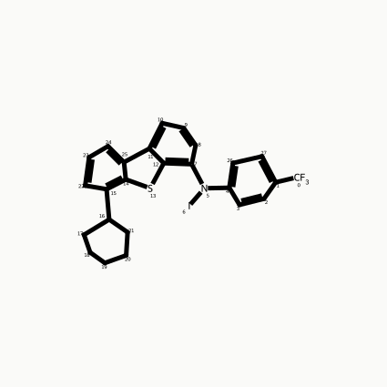 FC(F)(F)c1ccc(N(I)c2cccc3c2sc2c(C4CCCCC4)cccc23)cc1